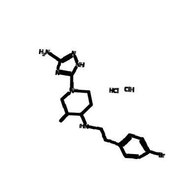 CC1CN(c2nc(N)n[nH]2)CCC1NCCc1ccc(Br)cc1.Cl.Cl